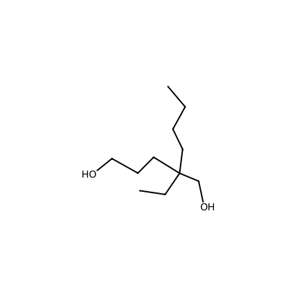 CCCCC(CC)(CO)CCCO